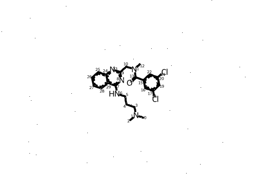 CN(C)CCCNc1nc(CN(C)C(=O)c2cc(Cl)cc(Cl)c2)nc2ccccc12